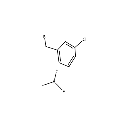 Clc1cccc([CH2][K])c1.FB(F)F